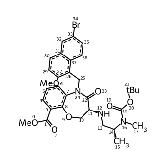 COC(=O)c1cccc2c1OC[C@H](NC[C@H](C)N(C)C(=O)OC(C)(C)C)C(=O)N2Cc1c(OC)ccc2cc(Br)ccc12